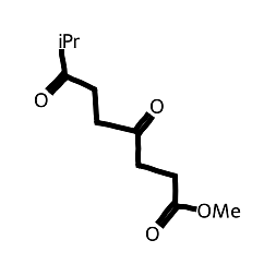 COC(=O)CCC(=O)CCC(=O)C(C)C